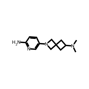 CN(C)C1CC2(C1)CN(c1ccc(N)nc1)C2